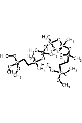 CO[Si](CC[Si](C)(C)O[Si](C)(C)O[Si](C)(C)O[Si](C)(C)O[Si](C)(C)CC[Si](OC)(OC)OC)(OC)OC